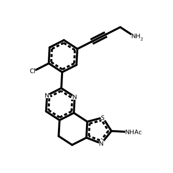 CC(=O)Nc1nc2c(s1)-c1nc(-c3cc(C#CCN)ccc3Cl)ncc1CC2